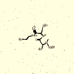 CCCCC(NC(=O)C(C(C)C)N(C)NC)C(=O)NCCC(C)(C)C